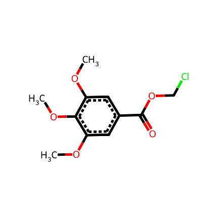 COc1cc(C(=O)OCCl)cc(OC)c1OC